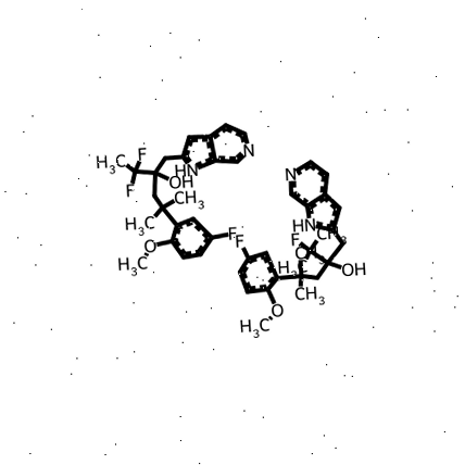 COc1ccc(F)cc1C(C)(C)CC(O)(Cc1cc2ccncc2[nH]1)C(C)(C)F.COc1ccc(F)cc1C(C)(C)CC(O)(Cc1cc2ccncc2[nH]1)C(C)(F)F